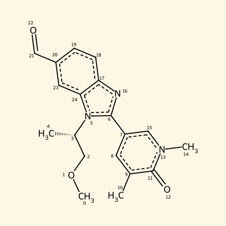 COC[C@H](C)n1c(-c2cc(C)c(=O)n(C)c2)nc2ccc(C=O)cc21